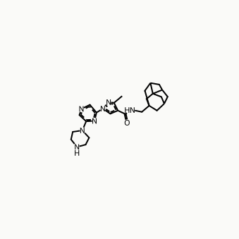 Cc1nn(-c2cncc(N3CCNCC3)n2)cc1C(=O)NCC12CC3CC4CC(C1)C4(C3)C2